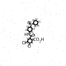 O=C(O)c1cc(Cl)c(Cl)cc1C(=O)Nc1ccc([S+]([O-])c2ccccc2)cc1